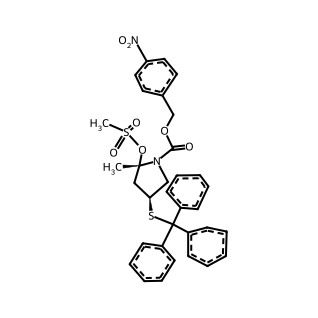 C[C@]1(OS(C)(=O)=O)C[C@H](SC(c2ccccc2)(c2ccccc2)c2ccccc2)CN1C(=O)OCc1ccc([N+](=O)[O-])cc1